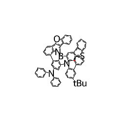 CC(C)(C)c1ccc(N2c3cc4sc5ccccc5c4cc3B3c4c(cc(N(c5ccccc5)c5ccccc5)cc42)-c2cccc4c5oc6ccccc6c5n3c24)c(-c2ccccc2)c1